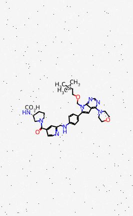 C[Si](C)(C)CCOCn1c(-c2ccc(NCc3cc(C(=O)N4CCC[C@@H](NC(=O)O)C4)ccn3)cc2)cc2c(N3CCOCC3)ncnc21